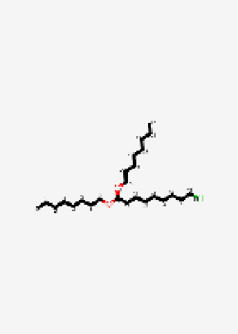 CCCCCCCCOC(CCCCCCCCCl)OCCCCCCCC